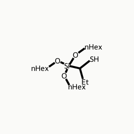 CCCCCCO[Si](OCCCCCC)(OCCCCCC)C(S)CC